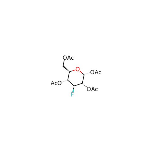 CC(=O)OC[C@H]1O[C@H](OC(C)=O)[C@H](OC(C)=O)[C@@H](F)[C@@H]1OC(C)=O